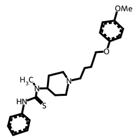 COc1ccc(OCCCCN2CCC(N(C)C(=S)Nc3ccccc3)CC2)cc1